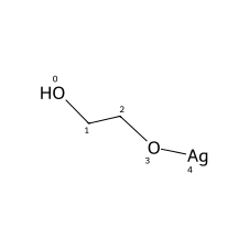 OCC[O][Ag]